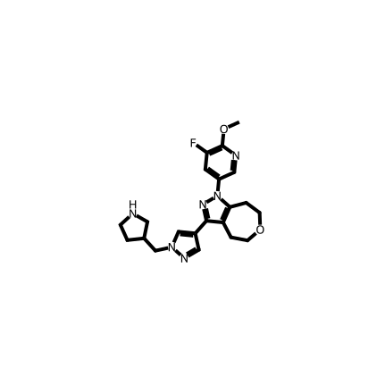 COc1ncc(-n2nc(-c3cnn(CC4CCNC4)c3)c3c2CCOCC3)cc1F